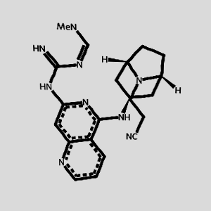 CN/C=N\C(=N)Nc1cc2ncccc2c(N[C@@H]2C[C@H]3CC[C@@H](C2)N3CCC#N)n1